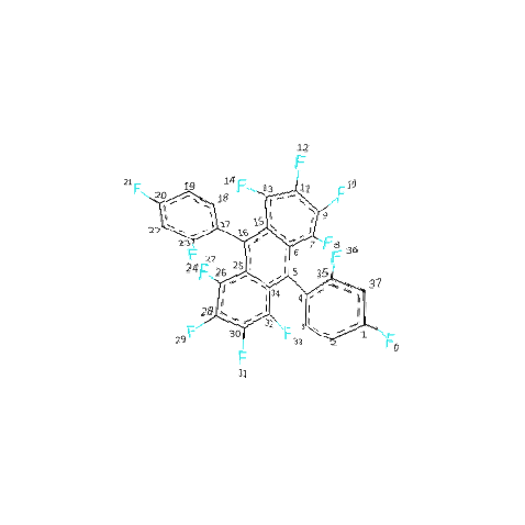 Fc1ccc(-c2c3c(F)c(F)c(F)c(F)c3c(-c3ccc(F)cc3F)c3c(F)c(F)c(F)c(F)c23)c(F)c1